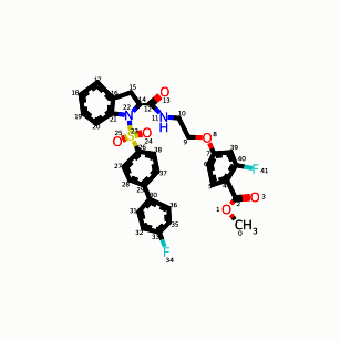 COC(=O)c1ccc(OCCNC(=O)[C@@H]2Cc3ccccc3N2S(=O)(=O)c2ccc(-c3ccc(F)cc3)cc2)cc1F